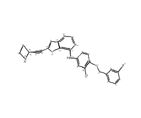 Fc1cccc(COc2ccc(Nc3ncnc4cc(C#C[C@@H]5CCN5)sc34)cc2Cl)c1